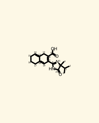 CC(C)C1(C)N=C(C2=C(C(=O)O)CC3=CCCCC3=C2)NC1=O